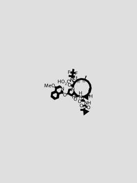 CC[C@@H]1C[C@@H](C)CCC=C[C@@H]2C[C@@]2(C(=O)NS(=O)(=O)C2(C)CC2)NC(=O)[C@@H]2C[C@@H](Oc3ncc(OC)c4ccccc34)CN2C(=O)[C@H]1N(C(=O)O)C(C)(C)C(C)(F)F